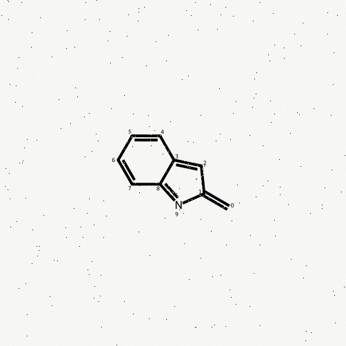 C=C1[C]=c2ccccc2=N1